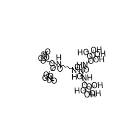 O=C(CN(CC(=O)NCCO[C@@H]1O[C@H](CO)[C@@H](O)[C@H](O)[C@H]1O)CC(=O)NCCO[C@@H]1O[C@H](CO)[C@@H](O)[C@H](O)[C@H]1O)NCCCCCC(=O)NC(COCCC(=O)ON1C(=O)CCC1=O)COCCC(=O)ON1C(=O)CCC1=O